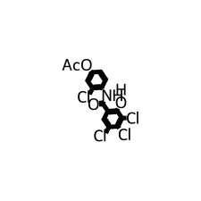 CC(=O)Oc1ccc(NC(=O)c2cc(Cl)c(Cl)c(Cl)c2O)c(Cl)c1